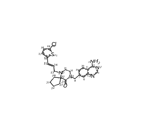 Nc1ncnc2cc(CN3CCN(CC=Cc4ccc(Cl)s4)C4(CCCC4)C3=O)ccc12